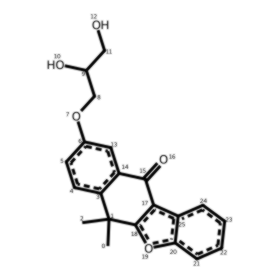 CC1(C)c2ccc(OCC(O)CO)cc2C(=O)c2c1oc1ccccc21